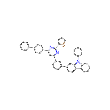 c1ccc(-c2ccc(-c3cc(-c4cccc(-c5ccc6c7ccccc7n(-c7ccccc7)c6c5)c4)nc(-c4cccs4)n3)cc2)cc1